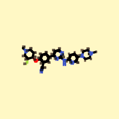 CN1CCN(c2ccc(Nc3nccc(-c4ccc(O[C@H]5CCN(C)C[C@H]5F)c(C#N)c4)n3)nc2)CC1